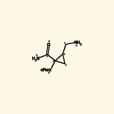 CCCCCC1(C(N)=O)CC1CN